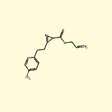 C=CCOC(=O)C1N=C1CCc1ccc(C)cc1